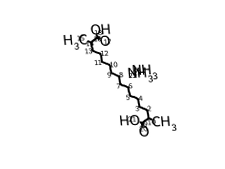 CC(CCCCCCCCCCCCC(C)C(=O)O)C(=O)O.N.N